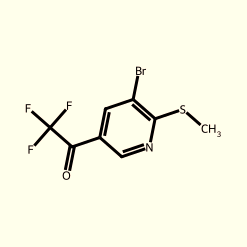 CSc1ncc(C(=O)C(F)(F)F)cc1Br